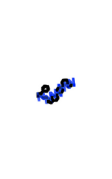 c1ccc(C2CCN2CCn2ccc3ccc(N4CCN(c5cccc6nccn56)CC4)nc32)cc1